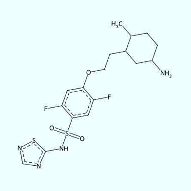 CC1CCC(N)CC1CCOc1cc(F)c(S(=O)(=O)Nc2ncns2)cc1F